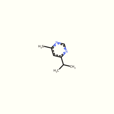 CC(C)c1cc([SiH3])ncn1